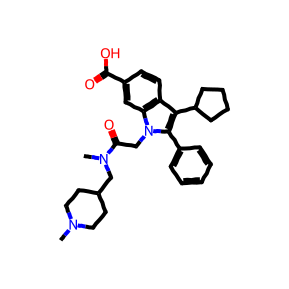 CN1CCC(CN(C)C(=O)Cn2c(-c3ccccc3)c(C3CCCC3)c3ccc(C(=O)O)cc32)CC1